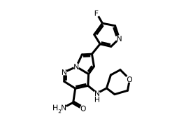 NC(=O)c1cnn2cc(-c3cncc(F)c3)cc2c1NC1CCOCC1